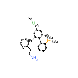 CC(C)c1cc(C(C)C)c(-c2ccccc2P(C(C)(C)C)C(C)(C)C)c(C(C)C)c1.NCCc1[c-]cccc1.[Cl][Pd+]